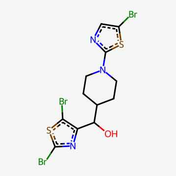 OC(c1nc(Br)sc1Br)C1CCN(c2ncc(Br)s2)CC1